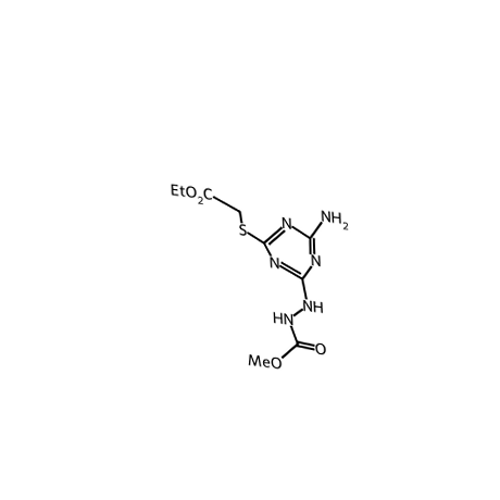 CCOC(=O)CSc1nc(N)nc(NNC(=O)OC)n1